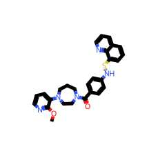 COc1ncccc1N1CCCN(C(=O)c2ccc(NSc3cccc4cccnc34)cc2)CC1